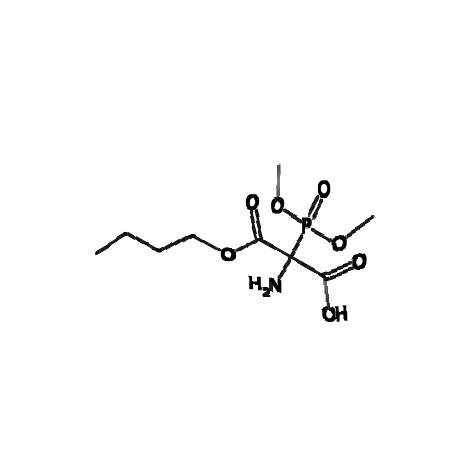 CCCCOC(=O)C(N)(C(=O)O)P(=O)(OC)OC